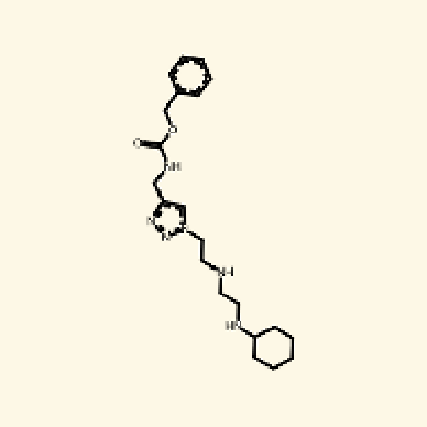 O=C(NCc1cn(CCNCCNC2CCCCC2)nn1)OCc1ccccc1